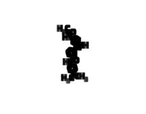 C=CC(=O)Nc1ccc2[nH]cc(-c3cccc(C(=O)NC4CCC(N(C)C)CC4)n3)c2c1